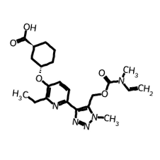 C=CN(C)C(=O)OCc1c(-c2ccc(O[C@H]3CCC[C@H](C(=O)O)C3)c(CC)n2)nnn1C